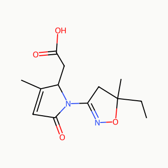 CCC1(C)CC(N2C(=O)C=C(C)C2CC(=O)O)=NO1